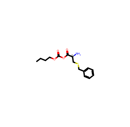 CCCCOC(=O)OC(=O)[C@@H](N)CSCc1ccccc1